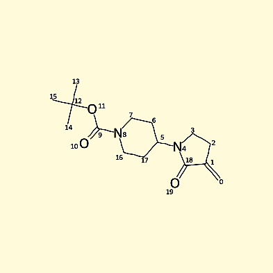 C=C1CCN(C2CCN(C(=O)OC(C)(C)C)CC2)C1=O